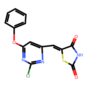 O=C1NC(=O)C(=Cc2cc(Oc3ccccc3)nc(Cl)n2)S1